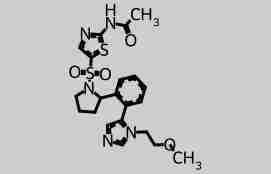 COCCn1cncc1-c1ccccc1C1CCCN1S(=O)(=O)c1cnc(NC(C)=O)s1